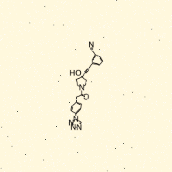 N#Cc1cccc(C#CC2(O)CCN(C(=O)Cc3ccc(-n4cnnn4)cc3)CC2)c1